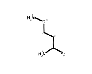 CCC(N)CCO[SiH3]